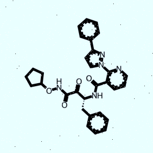 O=C(NOC1CCCC1)C(=O)[C@@H](Cc1ccccc1)NC(=O)c1cccnc1-n1ccc(-c2ccccc2)n1